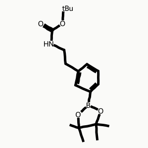 CC(C)(C)OC(=O)NCCc1cccc(B2OC(C)(C)C(C)(C)O2)c1